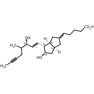 CC#CCC(C)[C@@H](O)/C=C/[C@@H]1[C@H]2CC(=CCCCC(=O)O)C[C@H]2C[C@H]1O